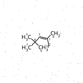 [CH2]C(F)=CC(C)(C)C